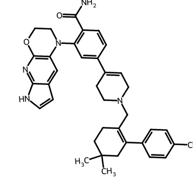 CC1(C)CCC(CN2CC=C(c3ccc(C(N)=O)c(N4CCOc5nc6[nH]ccc6cc54)c3)CC2)=C(c2ccc(Cl)cc2)C1